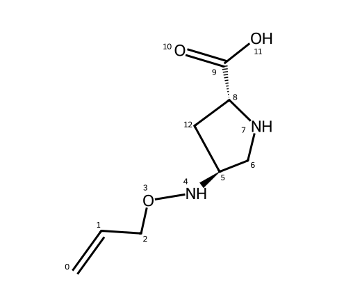 C=CCON[C@@H]1CN[C@@H](C(=O)O)C1